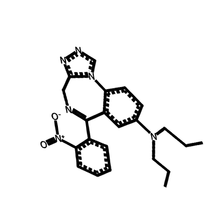 CCCN(CCC)c1ccc2c(c1)C(c1ccccc1[N+](=O)[O-])=NCc1nncn1-2